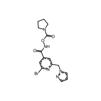 O=C(NOC(=O)N1CCCC1)c1cc(Br)nc(Cn2cccn2)c1